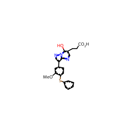 COc1cc(-c2cnn3c(O)c(CCC(=O)O)cnc23)ccc1Sc1ccccc1